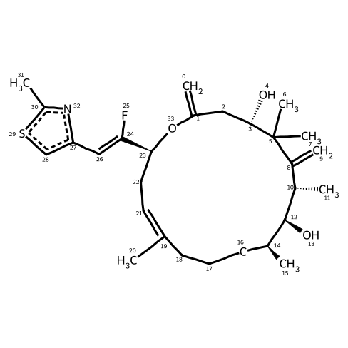 C=C1C[C@H](O)C(C)(C)C(=C)[C@H](C)[C@@H](O)[C@@H](C)CCC/C(C)=C\C[C@@H](/C(F)=C/c2csc(C)n2)O1